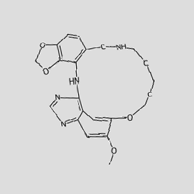 COc1cc2ncnc3c2cc1OCCCCCNCc1ccc2c(c1N3)OCO2